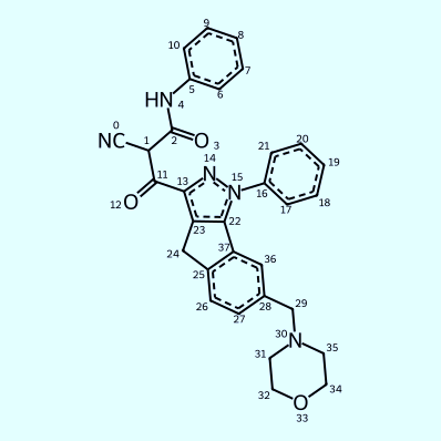 N#CC(C(=O)Nc1ccccc1)C(=O)c1nn(-c2ccccc2)c2c1Cc1ccc(CN3CCOCC3)cc1-2